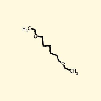 CCOCCCCCCOCC